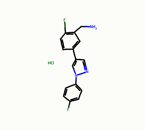 Cl.NCc1cc(-c2cnn(-c3ccc(F)cc3)c2)ccc1F